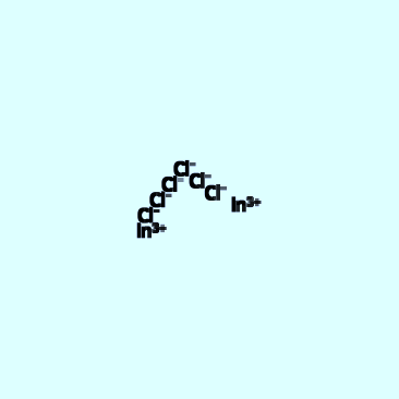 [Cl-].[Cl-].[Cl-].[Cl-].[Cl-].[Cl-].[In+3].[In+3]